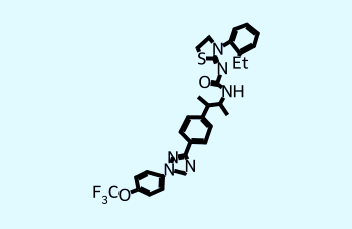 CCc1ccccc1N1CCS/C1=N\C(=O)NC(C)C(C)c1ccc(-c2ncn(-c3ccc(OC(F)(F)F)cc3)n2)cc1